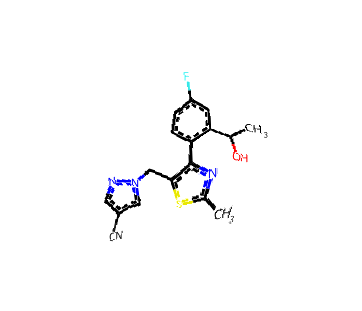 Cc1nc(-c2ccc(F)cc2C(C)O)c(Cn2cc(C#N)cn2)s1